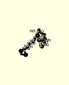 C#CCCCON(C(=O)[C@@H](NC(=O)[C@H]1CCCCN1C)[C@@H](C)CC)[C@H](C[C@@H](OC(C)=O)c1nc(C(=O)N[C@@H](Cc2ccc(NC(=O)CNC(=O)CNC(=O)CNC(=O)CCC(=O)N3Cc4ccccc4CC(=C)c4ccccc43)cc2)CC(C)(C)C(=O)O)cs1)C(C)C